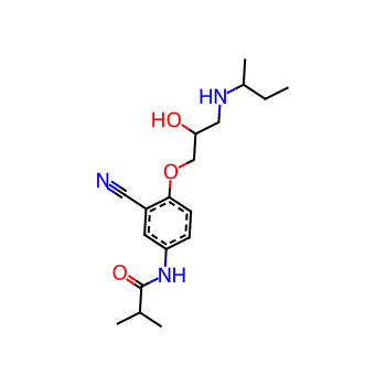 CCC(C)NCC(O)COc1ccc(NC(=O)C(C)C)cc1C#N